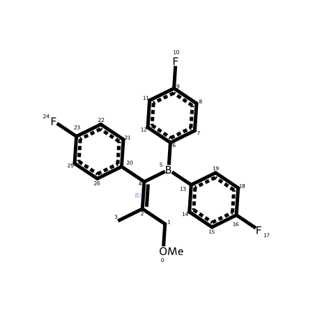 COC/C(C)=C(\B(c1ccc(F)cc1)c1ccc(F)cc1)c1ccc(F)cc1